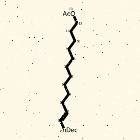 CCCCCCCCCCC=CCCCCCCCCCCOC(C)=O